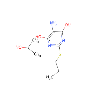 CC(C)O.CCCSc1nc(O)c(N)c(O)n1